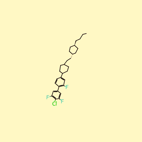 CCCC[C@H]1CC[C@H](CCC2CCC(c3ccc(-c4cc(F)c(Cl)c(F)c4)c(F)c3)CC2)CC1